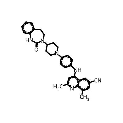 Cc1cc(Nc2ccc(N3CCC(N4CCc5ccccc5NC4=O)CC3)cc2)c2cc(C#N)cc(C)c2n1